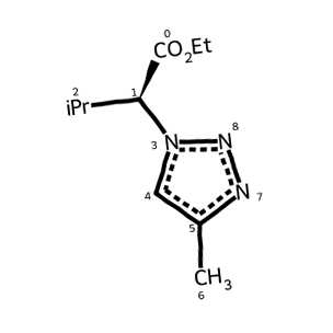 CCOC(=O)[C@H](C(C)C)n1cc(C)nn1